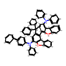 c1ccc(-c2ccc(N(c3ccccc3)c3cc4c(c5c3oc3ccccc35)-c3c(cc(N(c5ccccc5)c5ccccc5)c5c3oc3ccccc35)C4(c3ccccc3)c3ccccc3)cc2)cc1